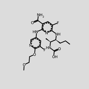 CCC[C@H](Nc1nc(Nc2cnc(OCCOC)c(F)c2)c(C(N)=O)cc1F)[C@H](C)NC(=O)O